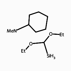 CCOC([SiH3])OCC.CNC1CCCCC1